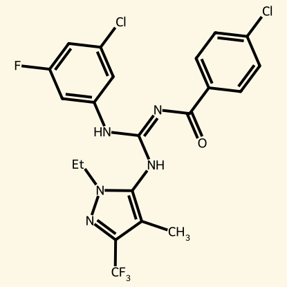 CCn1nc(C(F)(F)F)c(C)c1N/C(=N\C(=O)c1ccc(Cl)cc1)Nc1cc(F)cc(Cl)c1